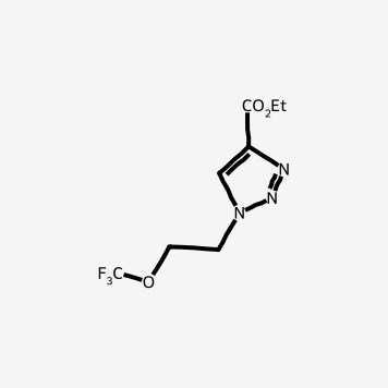 CCOC(=O)c1cn(CCOC(F)(F)F)nn1